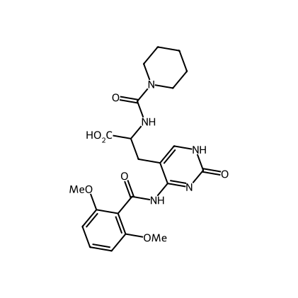 COc1cccc(OC)c1C(=O)Nc1nc(=O)[nH]cc1CC(NC(=O)N1CCCCC1)C(=O)O